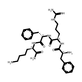 N=C(N)NCCC[C@@H](NC(=O)[C@@H](N)Cc1ccccc1)C(=O)N[C@@H](Cc1ccccc1)C(=O)N[C@H](CCCCN)C(N)=O